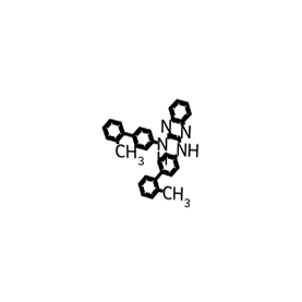 Cc1ccccc1-c1ccc(Nc2nc3ccccc3nc2Nc2ccc(-c3ccccc3C)cc2)cc1